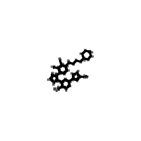 CCCn1cc(-c2cnc(N)c(-c3nnnn3-c3ccc(OCCCN4CCOCC4)c(F)c3F)c2)cn1